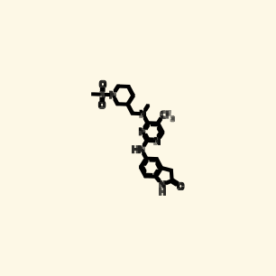 CN(CC1CCCN(S(C)(=O)=O)C1)c1nc(Nc2ccc3c(c2)CC(=O)N3)ncc1C(F)(F)F